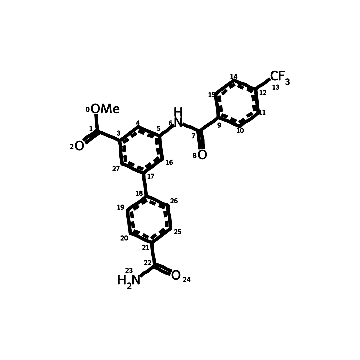 COC(=O)c1cc(NC(=O)c2ccc(C(F)(F)F)cc2)cc(-c2ccc(C(N)=O)cc2)c1